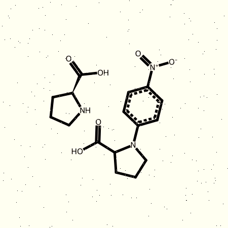 O=C(O)C1CCCN1c1ccc([N+](=O)[O-])cc1.O=C(O)[C@@H]1CCCN1